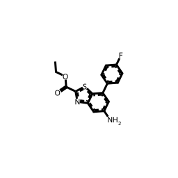 CCOC(=O)c1nc2cc(N)cc(-c3ccc(F)cc3)c2s1